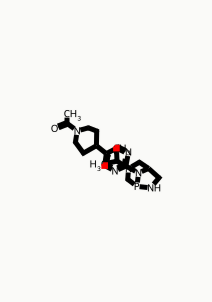 CC(=O)N1CCC(c2cnc(N3C4CNP3CN(C(C)C)C4)nc2)CC1